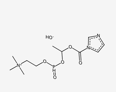 CC(OC(=O)n1ccnc1)O[PH](=O)OCC[N+](C)(C)C.[OH-]